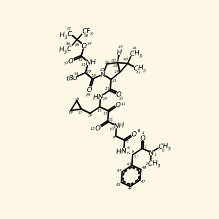 CN(C)C(=O)[C@@H](NC(=O)CNC(=O)C(=O)C(CC1CC1)NC(=O)C1C2[C@H](CN1C(=O)C(NC(=O)OC(C)(C)C(F)(F)F)C(C)(C)C)C2(C)C)c1ccccc1